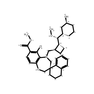 COC(=O)c1ccc2c(c1Cl)N(C[C@@H]1CC[C@H]1[C@H](OC)[C@H]1CCC[C@H](O)C1)C[C@@]1(CCCc3ccccc31)CO2